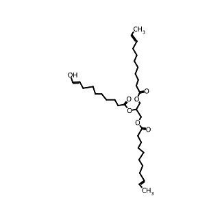 CC=CCCCCCCCC(=O)OCC(COC(=O)CCCCCCCC=CC)OC(=O)CCCCCCCC=CO